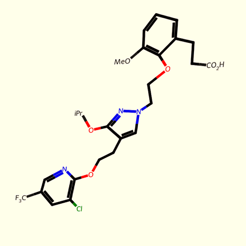 COc1cccc(CCC(=O)O)c1OCCn1cc(CCOc2ncc(C(F)(F)F)cc2Cl)c(OC(C)C)n1